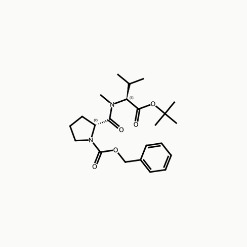 CC(C)[C@@H](C(=O)OC(C)(C)C)N(C)C(=O)[C@H]1CCCN1C(=O)OCc1ccccc1